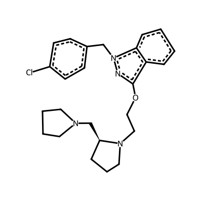 Clc1ccc(Cn2nc(OCCN3CCC[C@H]3CN3CCCC3)c3ccccc32)cc1